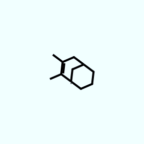 CC1=C(C)[C]2CCCC(C2)C1